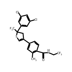 Cc1cc(C2=CSC(c3cc(Cl)cc(Cl)c3)(C(F)(F)F)C2)ccc1C(=O)NCC(F)(F)F